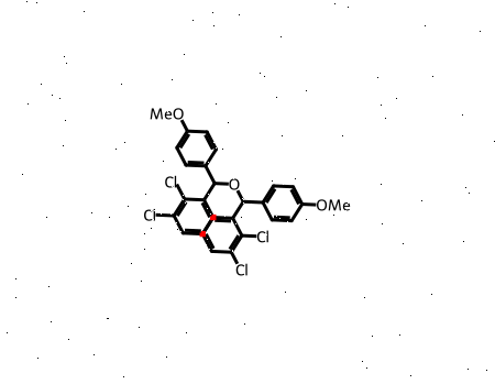 COc1ccc(C(OC(c2ccc(OC)cc2)c2cccc(Cl)c2Cl)c2cccc(Cl)c2Cl)cc1